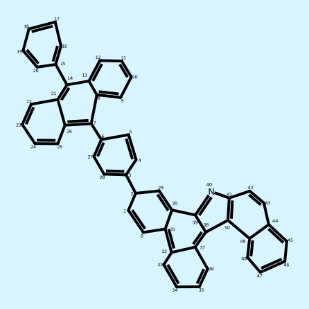 C1=CC(c2ccc(-c3c4ccccc4c(-c4ccccc4)c4ccccc34)cc2)C=c2c1c1ccccc1c1c2=Nc2ccc3ccccc3c2-1